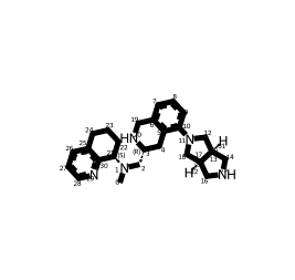 CN(C[C@H]1Cc2c(cccc2N2C[C@H]3CNC[C@H]3C2)CN1)[C@H]1CCCc2cccnc21